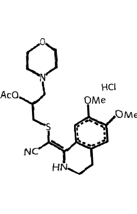 COc1cc2c(cc1OC)C(=C(C#N)SCC(CN1CCOCC1)OC(C)=O)NCC2.Cl